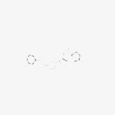 C[C@H](NC(=O)C(C)(C)N1CCC(COc2cccc(Cl)c2)C1)c1ccc(C(=O)O)cc1